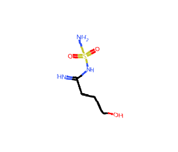 N=C(CCCO)NS(N)(=O)=O